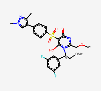 COC[C@@H](c1cc(F)cc(F)c1)n1c(COC(C)C)nc(=O)c(S(=O)(=O)c2ccc(-c3cn(C)nc3C)cc2)c1O